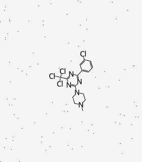 CN1CCN(c2nc(-c3cccc(Cl)c3)nc(C(Cl)(Cl)Cl)n2)CC1